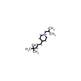 CC(C)CN1CCC(CCCC(C)(C)C)CC1